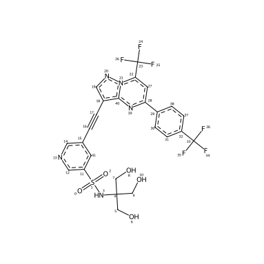 O=S(=O)(NC(CO)(CO)CO)c1cncc(C#Cc2cnn3c(C(F)(F)F)cc(-c4ccc(C(F)(F)F)cc4)nc23)c1